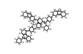 CC1(C)c2ccc(-c3ccccc3N(c3ccc(-c4ccc5c(c4)sc4ccccc45)cc3)c3ccc(-c4ccc5oc6ccccc6c5c4)cc3)cc2-c2ccc(-c3cccc4c3c3ccccc3n4-c3ccccc3)cc21